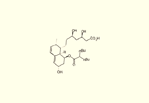 CCCCC(CCCC)C(=O)O[C@H]1C[C@H](O)C=C2C=C[C@H](C)[C@H](CC[C@@H](O)C[C@@H](O)CC(=O)O)[C@H]21